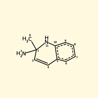 CC1(N)C=Cc2ccccc2N1